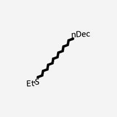 CCCCCCCCCCCCCCCCCCCCCCCCSCC